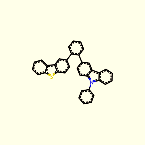 c1ccc(-n2c3ccccc3c3cc(-c4ccccc4-c4ccc5sc6ccccc6c5c4)ccc32)cc1